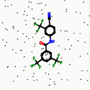 N#Cc1ccc(NC(=O)c2cc(C(F)(F)F)cc(C(F)(F)F)c2)cc1C(F)(F)F